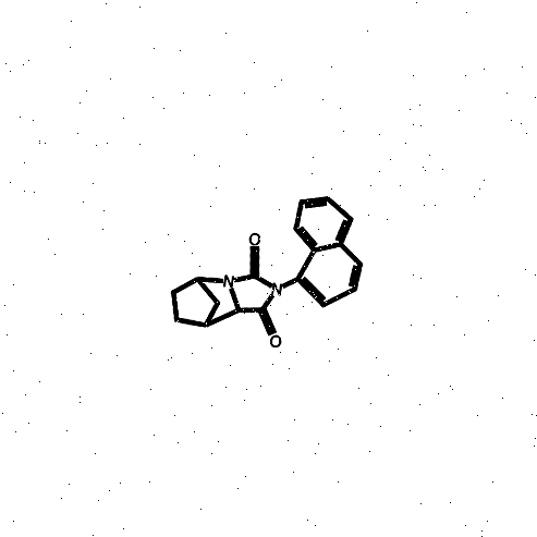 O=C1C2C3CCC(C3)N2C(=O)N1c1cccc2ccccc12